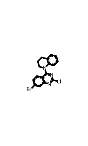 Clc1nc(N2CCCc3ccccc32)c2ccc(Br)cc2n1